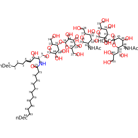 CCCCCCCCCCCCC/C=C/[C@@H](O)[C@H](CO[C@@H]1OC(CO)[C@@H](O[C@@H]2OC(CO)[C@H](O[C@@H]3OC(CO)[C@H](O)[C@H](O[C@@H]4OC(CO)[C@H](O)[C@H](O[C@]5(C(=O)O)CC(O)[C@@H](NC(C)=O)C([C@H](O)[C@H](O)CO)O5)C4O)C3NC(C)=O)[C@H](O)C2O)[C@H](O)C1O)NC(=O)CCCCCCCCCCCCCCCCCCCCC